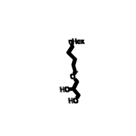 [CH2]CCCCCCCCC[CH]OCC(O)CO